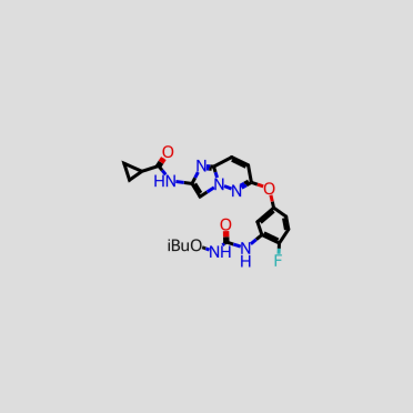 CC(C)CONC(=O)Nc1cc(Oc2ccc3nc(NC(=O)C4CC4)cn3n2)ccc1F